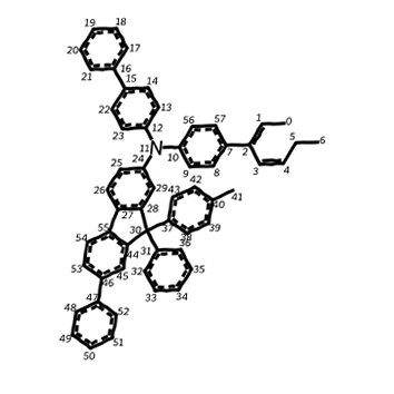 C/C=C(\C=C/CC)c1ccc(N(c2ccc(-c3ccccc3)cc2)c2ccc3c(c2)C(c2ccccc2)(c2ccc(C)cc2)c2cc(-c4ccccc4)ccc2-3)cc1